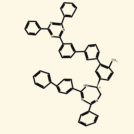 Cc1ccc([C@H]2CN=C(c3ccccc3)N=C(c3ccc(-c4ccccc4)cc3)N2)cc1-c1cccc(-c2cccc(-c3nc(-c4ccccc4)nc(-c4ccccc4)n3)c2)c1